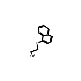 OCCOc1cccc2c[c]ccc12